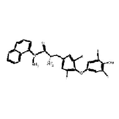 N[C@@H](Cc1cc(I)c(Oc2cc(I)c(O)c(I)c2)c(I)c1)C(=O)N(N)c1cccc2ccccc12